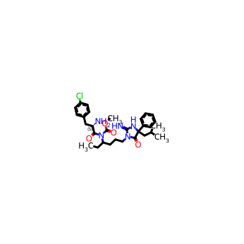 CCC(CCCN1C(=N)NC(CC(C)C)(c2ccccc2)C1=O)N(C(=O)OC)C(=O)[C@@H](N)Cc1ccc(Cl)cc1